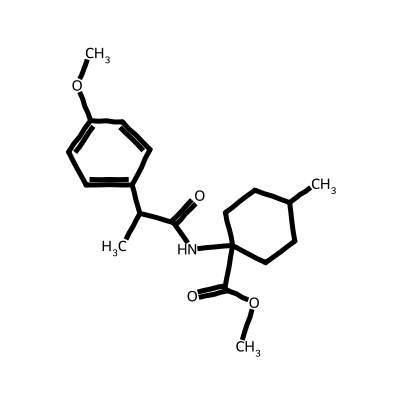 COC(=O)C1(NC(=O)C(C)c2ccc(OC)cc2)CCC(C)CC1